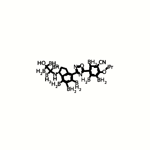 Bc1c(B)c(-c2noc(-c3c(B)c(B)c(OC(C)C)c(C#N)c3B)n2)c2c(c1B)[C@@H](NC(B)(B)C(B)(B)O)CC2